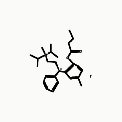 CCCC(=O)Oc1ccc(C)cc1[C@H](CC[N+](C)(C(C)C)C(C)C)c1ccccc1.[I-]